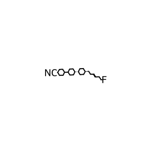 N#CC1CCC(C2CCC([C@H]3CC[C@H](CC/C=C/CCF)CC3)CC2)CC1